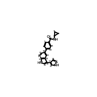 O=C(NC1CC1)c1ccc(-c2cnc3[nH]cc(-c4cn[nH]c4)c3c2)cc1